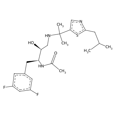 CC(=O)N[C@@H](Cc1cc(F)cc(F)c1)[C@@H](O)CNC(C)(C)c1cnc(CC(C)C)s1